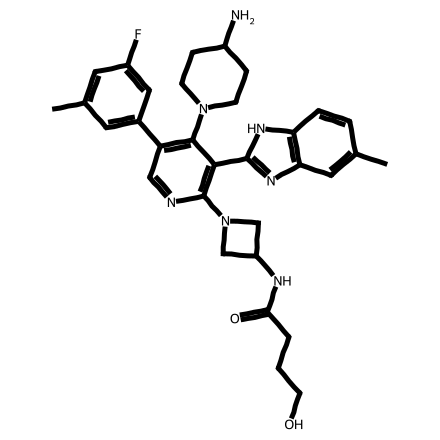 Cc1cc(F)cc(-c2cnc(N3CC(NC(=O)CCCO)C3)c(-c3nc4cc(C)ccc4[nH]3)c2N2CCC(N)CC2)c1